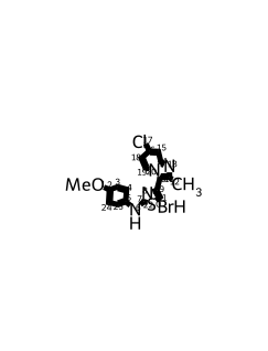 Br.COc1ccc(Nc2nc(-c3c(C)nc4cc(Cl)ccn34)cs2)cc1